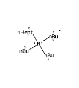 CCCCCCC[N+](CCCC)(CCCC)CCCC.[I-]